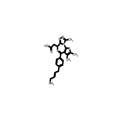 Cc1sc2c(c1C)C(c1ccc(CC=CCN)cc1)=NC(CC(=O)O)c1nnc(C)n1-2